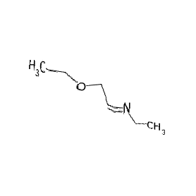 CCN=CCOCC